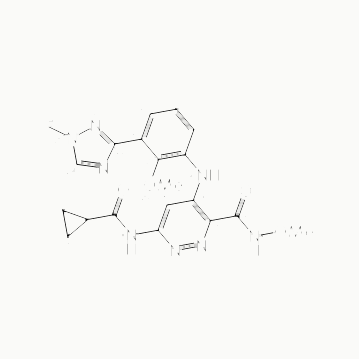 CONC(=O)c1nnc(NC(=O)C2CC2)cc1Nc1cccc(-c2ncn(C)n2)c1OC